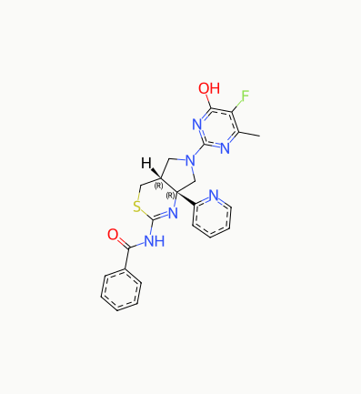 Cc1nc(N2C[C@H]3CSC(NC(=O)c4ccccc4)=N[C@@]3(c3ccccn3)C2)nc(O)c1F